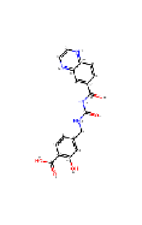 O=C(NCc1ccc(C(=O)O)c(O)c1)NC(=O)c1ccc2nccnc2c1